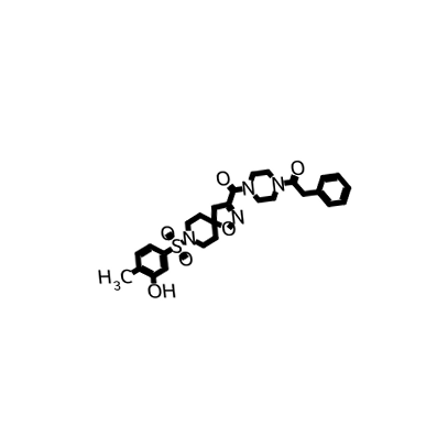 Cc1ccc(S(=O)(=O)N2CCC3(CC2)CC(C(=O)N2CCN(C(=O)Cc4ccccc4)CC2)=NO3)cc1O